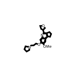 COc1cc2c3c(c(C4CCOC4)nc2cc1OCCCN1CCCC1)CCC3